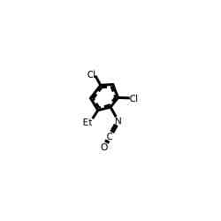 CCc1cc(Cl)cc(Cl)c1N=C=O